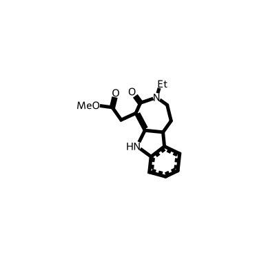 CCN1CCC2C(=C(CC(=O)OC)C1=O)Nc1ccccc12